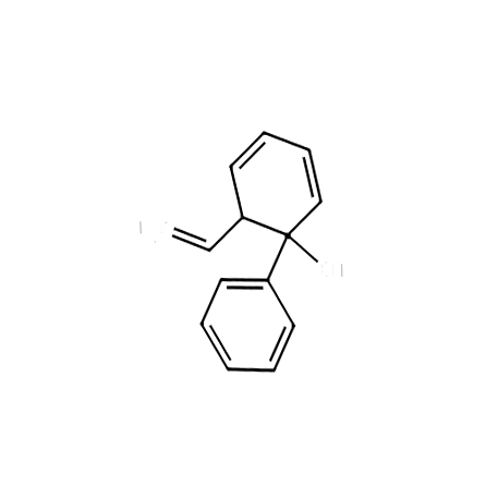 C=CC1C=CC=CC1(C)c1ccccc1